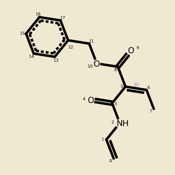 C=CNC(=O)/C(=C\C)C(=O)OCc1ccccc1